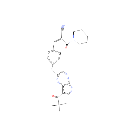 CC(C)(C)C(=O)c1c[nH]c2ncc([AsH]c3ccc(C=C(C#N)C(=O)N4CCCCC4)cc3)nc12